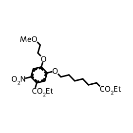 CCOC(=O)CCCCCCOc1cc(C(=O)OCC)c([N+](=O)[O-])cc1OCCOC